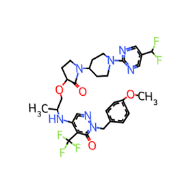 COc1ccc(Cn2ncc(NC(C)COC3CCN(C4CCN(c5ncc(C(F)F)cn5)CC4)C3=O)c(C(F)(F)F)c2=O)cc1